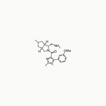 COc1cccc(-c2sc(C)nc2C(=O)N2C[C@@H]3CC(C)C[C@@H]3[C@H]2CN)c1